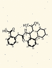 CC(C)CC(NC(=O)Cc1ccccc1C(=O)O)c1ccccc1N1CCCCC1